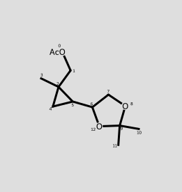 CC(=O)OCC1(C)CC1C1COC(C)(C)O1